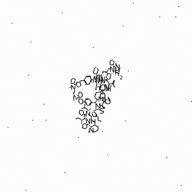 C=C(C)[C@@H](N)C(=O)N[C@H](CCCNC(N)=O)C(=O)Nc1ccc(COC(=O)N(C)CCN(C)C(=O)Oc2ccc(C[C@@H](C[C@H](C)C(=O)O)NC(=O)c3csc([C@@H](C[C@H](C(C)C)N(CCC)C(=O)[C@@H](NC(=O)[C@H]4CCCCN4C)[C@@H](C)CC)OCCC)n3)cc2)cc1